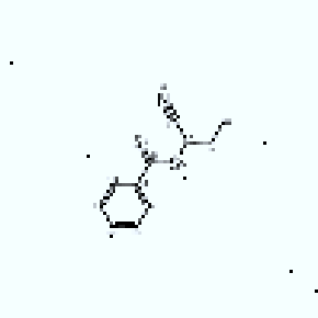 CCC(C#N)SC(=S)c1ccccc1